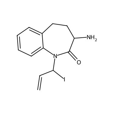 C=CC(I)N1C(=O)C(N)CCc2ccccc21